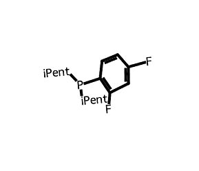 CCCC(C)P(c1ccc(F)cc1F)C(C)CCC